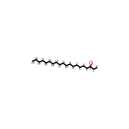 C[CH]C(=O)CCCCCCCCCCCCCCCCC